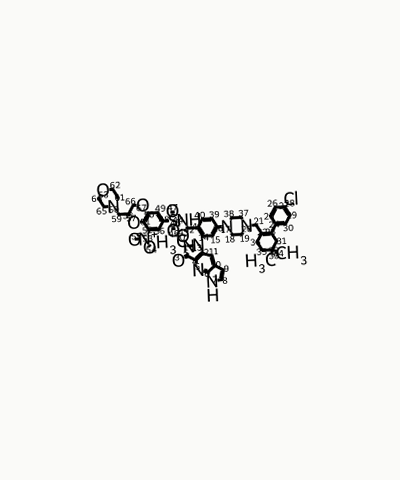 Cn1c(=O)c2nc3[nH]ccc3cc2n1-c1cc(N2CCN(CC3=C(c4ccc(Cl)cc4)CC(C)(C)CC3)CC2)ccc1C(=O)NS(=O)(=O)c1cc2c(c([N+](=O)[O-])c1)OC(CN1CCOCC1)CO2